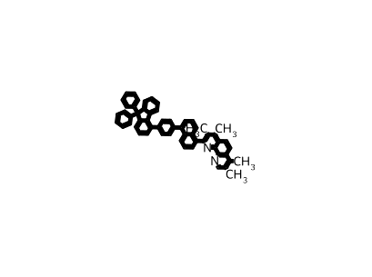 Cc1cnc2c(ccc3c(C)c(C)c(-c4cccc5c(-c6ccc(-c7cccc8c7-c7ccccc7C8(c7ccccc7)c7ccccc7)cc6)cccc45)nc32)c1C